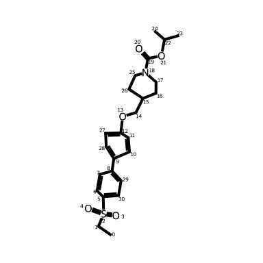 CCS(=O)(=O)c1ccc(-c2ccc(OCC3CCN(C(=O)OC(C)C)CC3)cc2)cc1